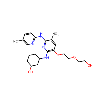 N#Cc1ccc(Nc2nc(NC3CCCC(O)C3)c(OCCOCCO)cc2[N+](=O)[O-])nc1